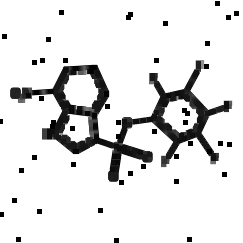 O=[N+]([O-])c1cccc2c(S(=O)(=O)Oc3c(F)c(F)c(F)c(F)c3F)c[nH]c12